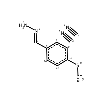 C#N.C#N.NN=Cc1ccc(SC(F)(F)F)cc1